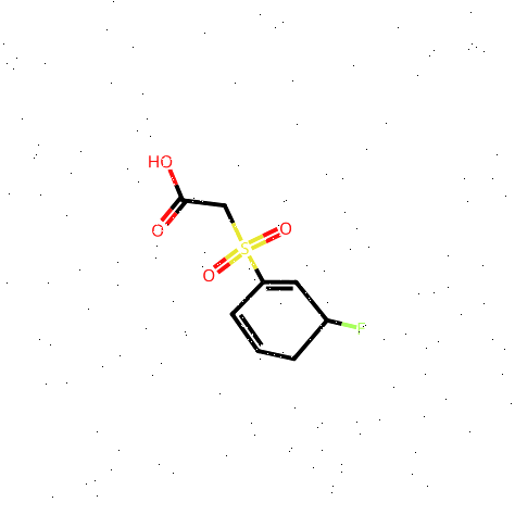 O=C(O)CS(=O)(=O)C1=CC(F)CC=C1